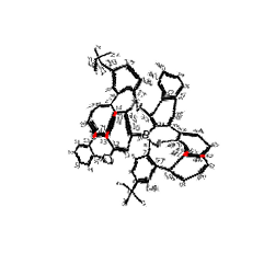 CC(C)(C)c1ccc(N2B3c4cc5c(cc4N(c4ccc(C(C)(C)C)cc4-c4ccccc4)c4c3c(cc3ccccc43)-c3ccccc32)Sc2ccccc2O5)c(-c2ccccc2)c1